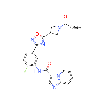 COC(=O)N1CC(c2nc(-c3ccc(F)c(NC(=O)c4cnc5ccccn45)c3)no2)C1